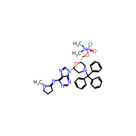 CN1CCC/C1=N\c1ncnc2c1ncn2[C@H]1CN(C(c2ccccc2)(c2ccccc2)c2ccccc2)C[C@@H](CO[P@](=O)(Cl)N(C)C)O1